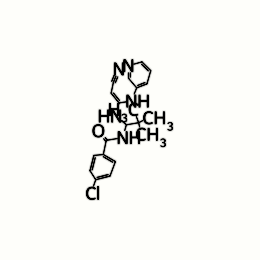 CC(C)(C)C(NC(=O)c1ccc(Cl)cc1)N/C(=C/C#N)Nc1cccnc1